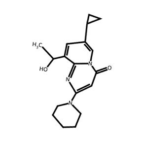 CC(O)c1cc(C2CC2)cn2c(=O)cc(N3CCCCC3)nc12